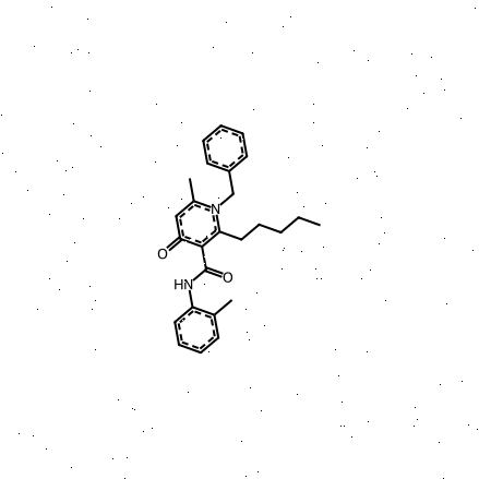 CCCCCc1c(C(=O)Nc2ccccc2C)c(=O)cc(C)n1Cc1ccccc1